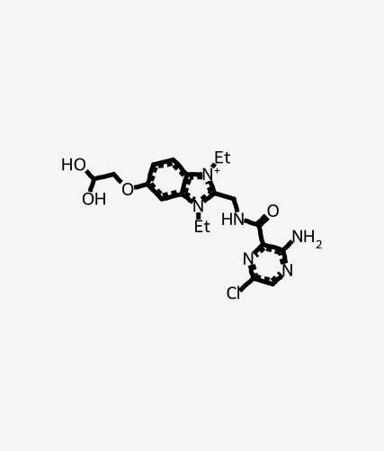 CCn1c(CNC(=O)c2nc(Cl)cnc2N)[n+](CC)c2ccc(OCC(O)O)cc21